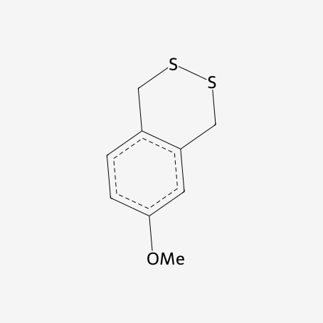 COc1ccc2c(c1)CSSC2